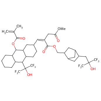 C=C(C)C(=O)OC1C2CCCCC2C(C(O)(C(F)(F)F)C(F)(F)F)C2CCC(/C=C(/CC(=O)OC)C(=O)OCC3CC4CC3CC4CC(O)(C(F)(F)F)C(F)(F)F)CC21